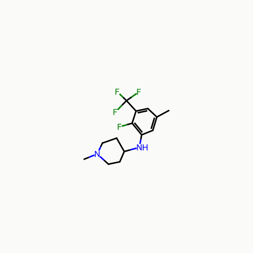 Cc1cc(NC2CCN(C)CC2)c(F)c(C(F)(F)F)c1